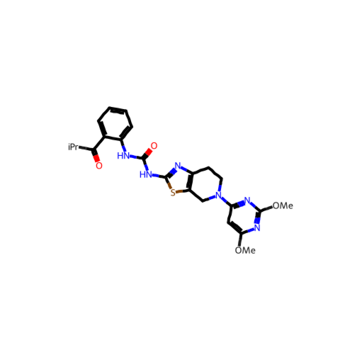 COc1cc(N2CCc3nc(NC(=O)Nc4ccccc4C(=O)C(C)C)sc3C2)nc(OC)n1